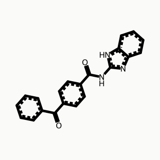 O=C(Nc1nc2ccccc2[nH]1)c1ccc(C(=O)c2ccccc2)cc1